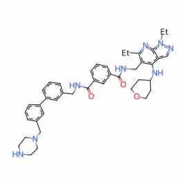 CCc1nc2c(cnn2CC)c(NC2CCOCC2)c1CNC(=O)c1cccc(C(=O)NCc2cccc(-c3cccc(CN4CCNCC4)c3)c2)c1